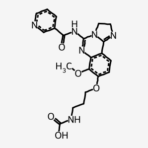 COc1c(OCCCNC(=O)O)ccc2c1N=C(NC(=O)c1cccnc1)N1CCN=C21